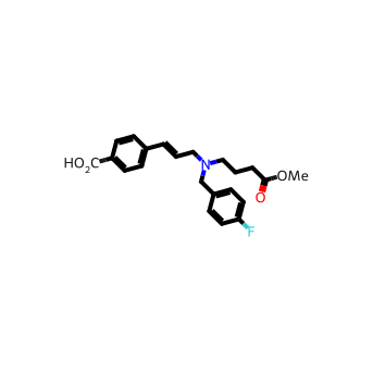 COC(=O)CCCN(C/C=C/c1ccc(C(=O)O)cc1)Cc1ccc(F)cc1